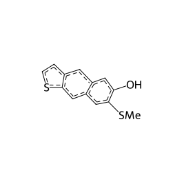 CSc1cc2cc3sccc3cc2cc1O